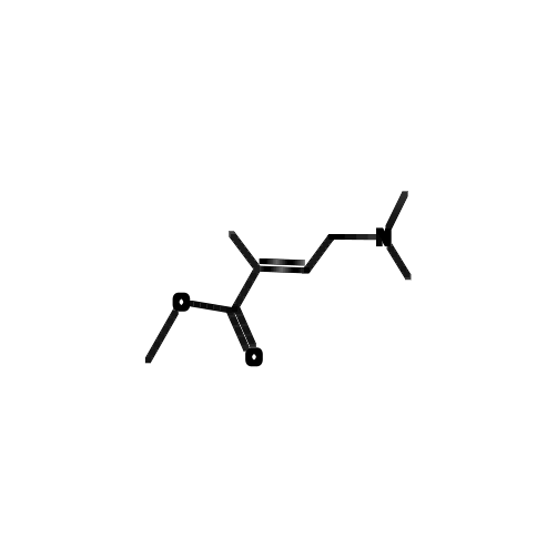 COC(=O)/C(C)=C/CN(C)C